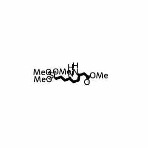 COC(=O)CC1CCC(CCC[Si](OC)(OC)OC)NN1